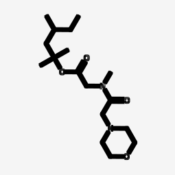 CCC(C)CC(C)(C)OC(=O)CN(C)C(=O)CN1CCOCC1